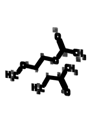 CCC(C)=O.COCCOC(C)=O